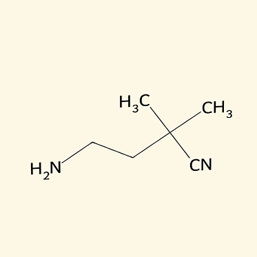 CC(C)(C#N)CCN